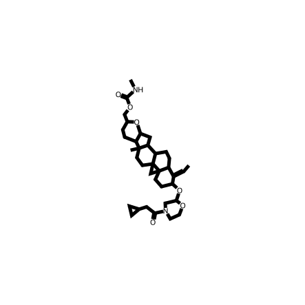 C/C=C1/C(OC2CN(C(=O)CC3CC3)CCO2)CCC23CC24CCC2(C)C5CCC(COC(=O)NC)OC5CC2C4CCC13